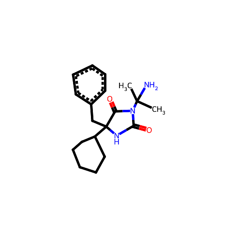 CC(C)(N)N1C(=O)NC(Cc2ccccc2)(C2CCCCC2)C1=O